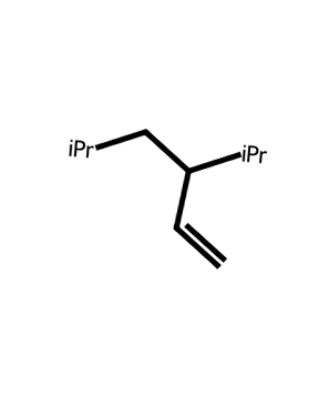 C=CC(CC(C)C)C(C)C